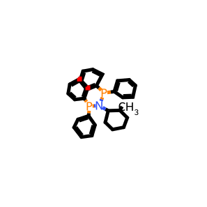 CC1CCCCC1N(P(c1ccccc1)c1ccccc1)P(c1ccccc1)c1ccccc1